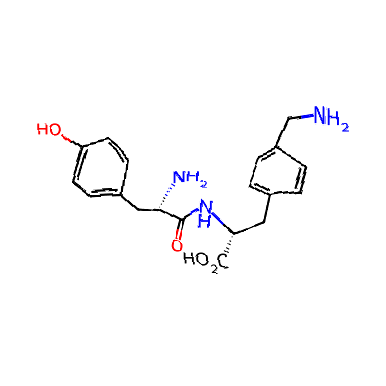 NCc1ccc(C[C@@H](NC(=O)[C@@H](N)Cc2ccc(O)cc2)C(=O)O)cc1